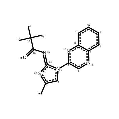 Cc1cn(-c2cnc3ccccc3n2)c(=NC(=O)C(C)(C)C)s1